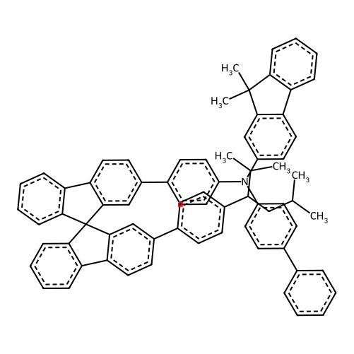 CC(C)CC(c1ccc(-c2ccc3c(c2)C2(c4ccccc4-3)c3ccccc3-c3ccc(-c4ccc(N(c5ccc(-c6ccccc6)cc5)c5ccc6c(c5)C(C)(C)c5ccccc5-6)cc4)cc32)cc1)C(C)C